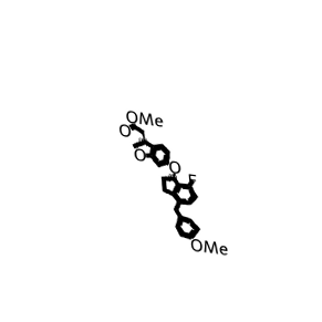 COC(=O)C[C@@H]1COc2cc(O[C@@H]3CCc4c(Cc5ccc(OC)cc5)ccc(F)c43)ccc21